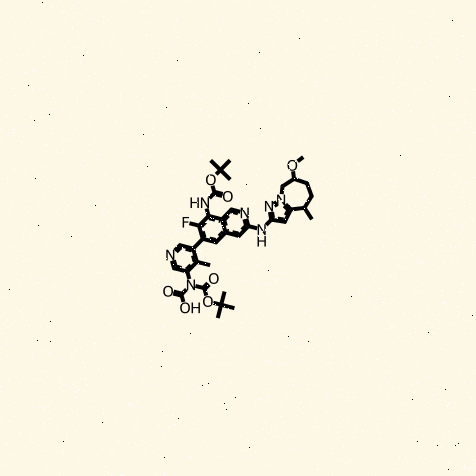 COC1CCC(C)c2cc(Nc3cc4cc(-c5cncc(N(C(=O)O)C(=O)OC(C)(C)C)c5C)c(F)c(NC(=O)OC(C)(C)C)c4cn3)nn2C1